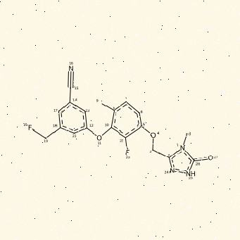 Cn1c(COc2ccc(I)c(Oc3cc(C#N)cc(CF)c3)c2F)n[nH]c1=O